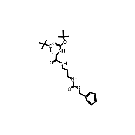 CC(C)(C)OC[C@H](NC(=O)OC(C)(C)C)C(=O)NCCCNC(=O)OCc1ccccc1